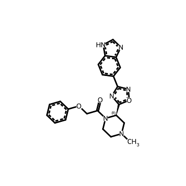 CN1CCN(C(=O)COc2ccccc2)[C@@H](c2nc(-c3ccc4[nH]cnc4c3)no2)C1